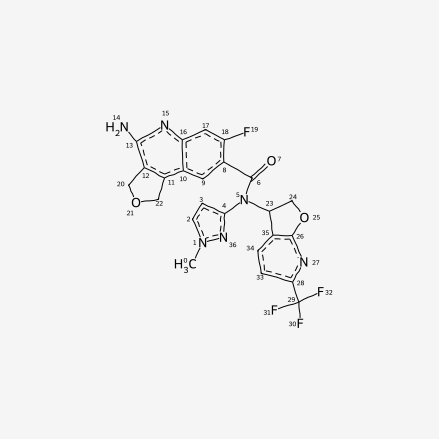 Cn1ccc(N(C(=O)c2cc3c4c(c(N)nc3cc2F)COC4)C2COc3nc(C(F)(F)F)ccc32)n1